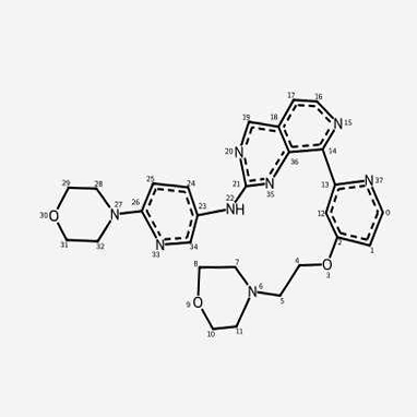 c1cc(OCCN2CCOCC2)cc(-c2nccc3cnc(Nc4ccc(N5CCOCC5)nc4)nc23)n1